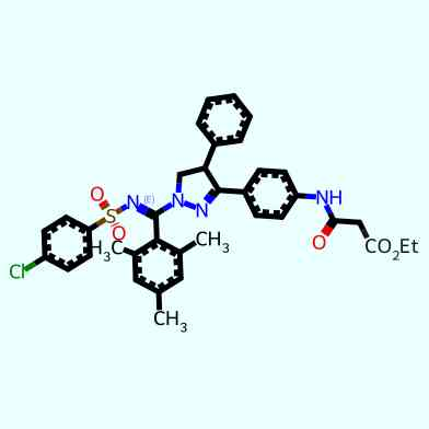 CCOC(=O)CC(=O)Nc1ccc(C2=NN(/C(=N/S(=O)(=O)c3ccc(Cl)cc3)c3c(C)cc(C)cc3C)CC2c2ccccc2)cc1